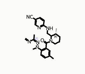 C=N/C(C)=N\N(C)c1ccc(C)cc1C(=O)N1CCC[C@@H](C)C1CNc1ccc(C#N)cn1